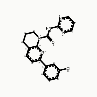 O=C(Nc1ncccn1)N1CCCc2ccc(-c3cccc(Cl)c3)nc21